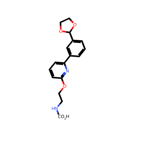 O=C(O)NCCOc1cccc(-c2cccc(C3OCCO3)c2)n1